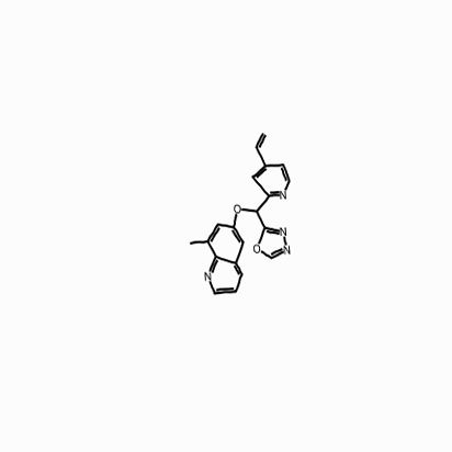 C=Cc1ccnc(C(Oc2cc(C)c3ncccc3c2)c2nnco2)c1